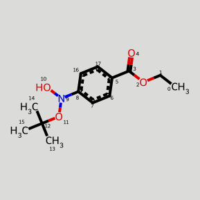 CCOC(=O)c1ccc(N(O)OC(C)(C)C)cc1